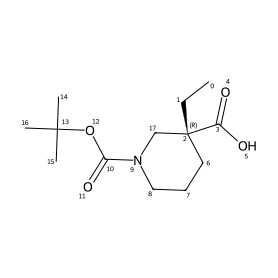 CC[C@@]1(C(=O)O)CCCN(C(=O)OC(C)(C)C)C1